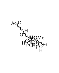 CCC(O)CC(O)CC1(OC)OCC(C)(C)[C@H](C(=O)NCCC(=O)NCCSC(=O)C(C)=O)O1